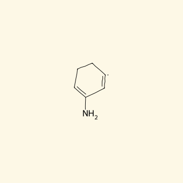 NC1=CCC[C]=C1